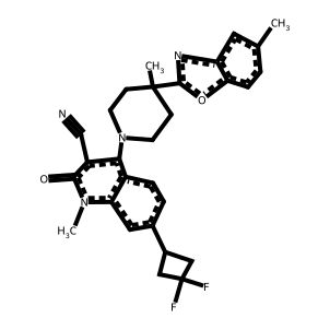 Cc1ccc2oc(C3(C)CCN(c4c(C#N)c(=O)n(C)c5cc(C6CC(F)(F)C6)ccc45)CC3)nc2c1